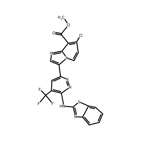 COC(=O)c1c(Cl)ccn2c(-c3cc(C(F)(F)F)c(Nc4nc5ccccc5s4)nn3)cnc12